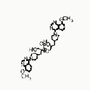 COc1cccc2c(N3CCC(CC(CO)O[PH](=O)OC(CO)CC4CCN(c5ncnc6c(OC)cccc56)CC4)CC3)ncnc12